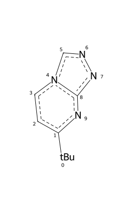 CC(C)(C)c1ccn2cnnc2n1